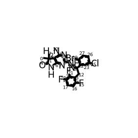 CC1(C)C(=O)Nc2nc(N/N=C(/Cc3c(F)ccc(F)c3F)c3cc(Cl)ccc3Br)nc(N)c21